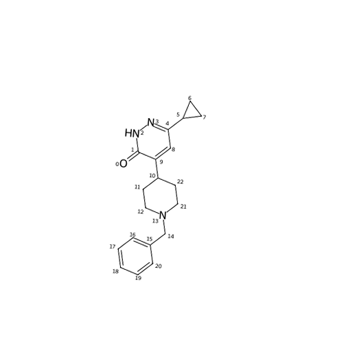 O=c1[nH]nc(C2CC2)cc1C1CCN(Cc2ccccc2)CC1